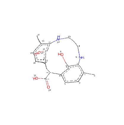 Cc1ccc2c(O)c1NCCNc1c(C)ccc(c1O)C2C(=O)O